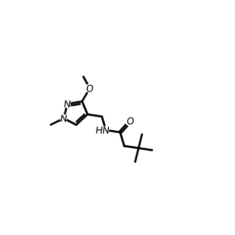 COc1nn(C)cc1CNC(=O)CC(C)(C)C